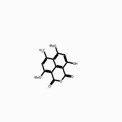 COc1cc(C)c2c(OC)cc(O)c3c2c1C(=O)OC3=O